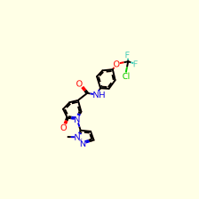 Cn1nccc1-n1cc(C(=O)Nc2ccc(OC(F)(F)Cl)cc2)ccc1=O